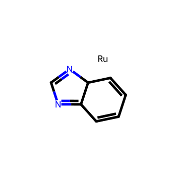 C1=CC2=NC=NC2C=C1.[Ru]